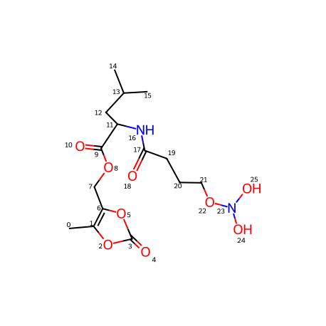 Cc1oc(=O)oc1COC(=O)C(CC(C)C)NC(=O)CCCON(O)O